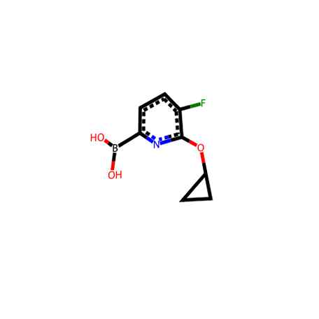 OB(O)c1ccc(F)c(OC2CC2)n1